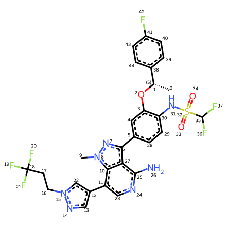 C[C@H](Oc1cc(-c2nn(C)c3c(-c4cnn(CCC(F)(F)F)c4)cnc(N)c23)ccc1NS(=O)(=O)C(F)F)c1ccc(F)cc1